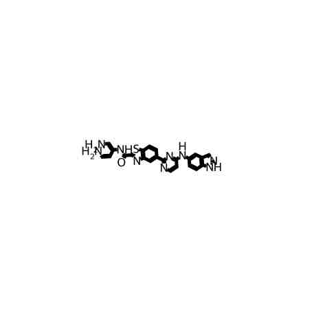 N/C=C\C(=C/N)NC(=O)c1nc2cc(-c3nccc(Nc4ccc5[nH]ncc5c4)n3)ccc2s1